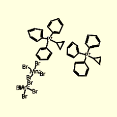 [Br][Mn-]([Br])([Br])[Br].[Br][Mn-]([Br])([Br])[Br].c1ccc([P+](c2ccccc2)(c2ccccc2)C2CC2)cc1.c1ccc([P+](c2ccccc2)(c2ccccc2)C2CC2)cc1